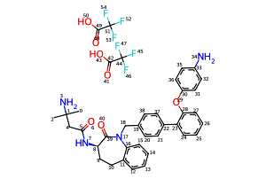 CC(C)(N)CC(=O)N[C@@H]1CCc2ccccc2N(Cc2ccc(-c3ccccc3Oc3ccc(N)cc3)cc2)C1=O.O=C(O)C(F)(F)F.O=C(O)C(F)(F)F